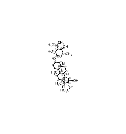 C[C@@H]1O[C@@H](O[C@H]2CC[C@@]3(C)[C@H](CC[C@@H]4[C@@H]3CC[C@]3(C)[C@@H]5CC[C@]43O[C@@H](O)[C@H]5CC(=O)O)C2)[C@H](O)[C@@H](N(C)C)[C@H]1O